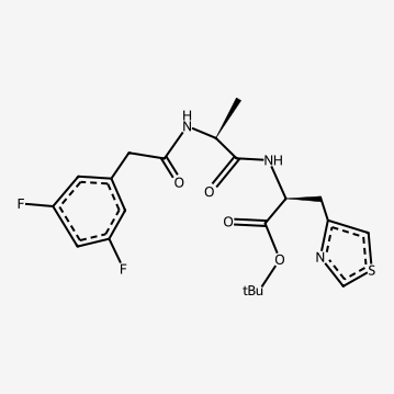 C[C@H](NC(=O)Cc1cc(F)cc(F)c1)C(=O)N[C@@H](Cc1cscn1)C(=O)OC(C)(C)C